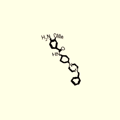 COc1cc(C(=O)NC2CCC(N3CCN(Cc4ccccc4)CC3)CC2)ccc1N